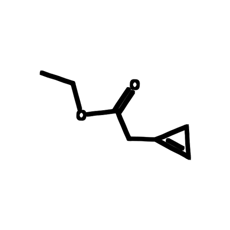 CCOC(=O)CC1=CC1